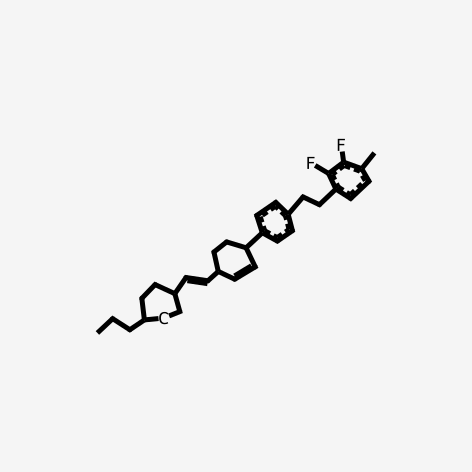 CCCC1CCC(/C=C/C2C=CC(c3ccc(CCc4ccc(C)c(F)c4F)cc3)CC2)CC1